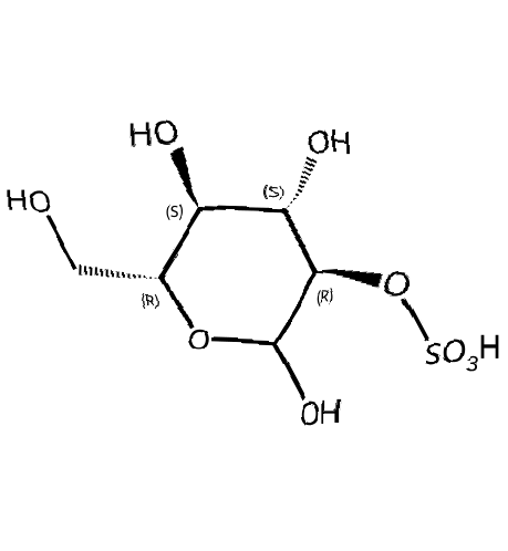 O=S(=O)(O)O[C@H]1C(O)O[C@H](CO)[C@@H](O)[C@@H]1O